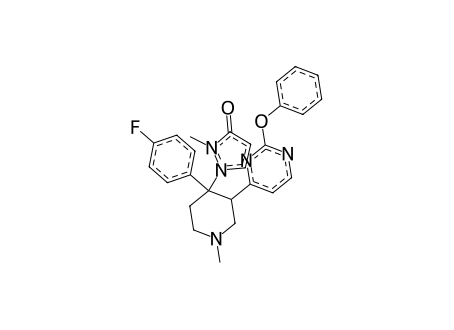 CN1CCC(c2ccc(F)cc2)(n2ccc(=O)n2C)C(c2ccnc(Oc3ccccc3)n2)C1